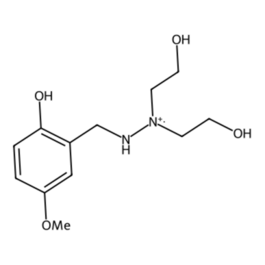 COc1ccc(O)c(CN[N+](CCO)CCO)c1